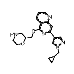 c1cnc2cc(-c3cnn(CC4CC4)c3)nc(OC[C@@H]3CNCCO3)c2c1